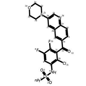 CCCS(=O)(=O)Nc1cc(F)c(F)c(C(=O)c2ccc3ncc(N4CCOCC4)cc3c2)c1Cl